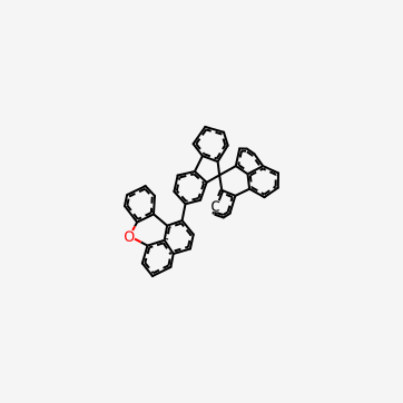 c1ccc2c(c1)Oc1cccc3ccc(-c4ccc5c(c4)C4(c6ccccc6-5)c5ccccc5-c5cccc6cccc4c56)c-2c13